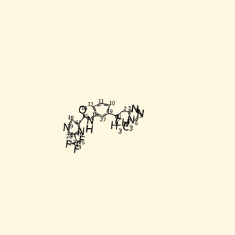 C[C@H](Cc1nncn1C)c1cccc(NC(=O)c2cncc(C(F)(F)F)n2)c1